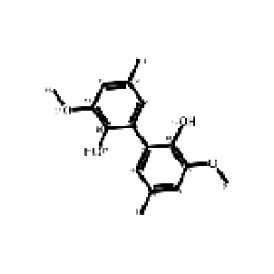 COc1cc(C)cc(-c2cc(C)cc(OC)c2O)c1O